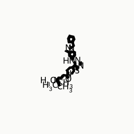 CN(CC=CC(=O)N1CCc2c(sc3ncnc(Nc4ccc5c(cnn5Cc5ccccc5)c4)c23)C1)C(C)(C)C